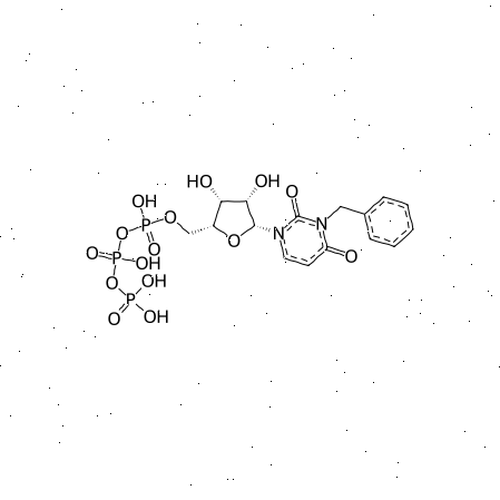 O=c1ccn([C@@H]2O[C@H](COP(=O)(O)OP(=O)(O)OP(=O)(O)O)[C@H](O)[C@@H]2O)c(=O)n1Cc1ccccc1